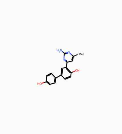 COc1cc(-c2cc(-c3ccc(O)cc3)ccc2O)nc(N)n1